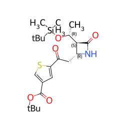 C[C@@H](O[Si](C)(C)C(C)(C)C)[C@H]1C(=O)N[C@@H]1CC(=O)c1cc(C(=O)OC(C)(C)C)cs1